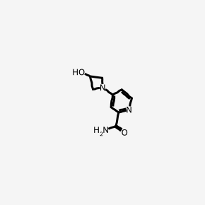 NC(=O)c1cc(N2CC(O)C2)ccn1